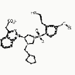 CCOc1ccc(S(=O)(=O)N2C[C@@H](CC3CCCC3)[C@@H](n3nc(CC(=O)O)c4ccccc43)C2)c(CCO)c1